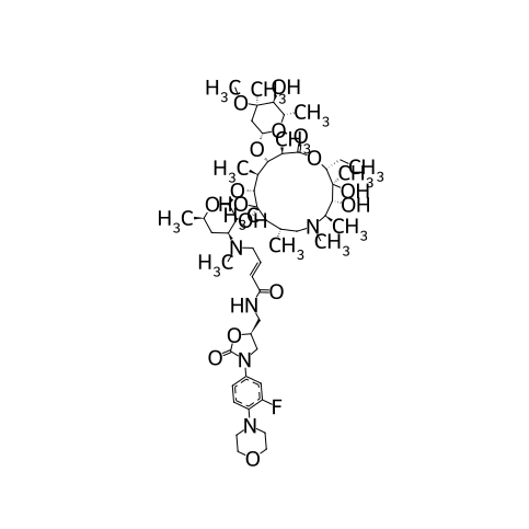 CC[C@H]1OC(=O)[C@H](C)[C@@H](O[C@@H]2C[C@@](C)(OC)[C@@H](O)[C@H](C)O2)[C@H](C)[C@@H](O[C@@H]2O[C@H](C)C[C@H](N(C)C/C=C/C(=O)NC[C@H]3CN(c4ccc(N5CCOCC5)c(F)c4)C(=O)O3)[C@H]2O)[C@](C)(O)C[C@@H](C)CN(C)[C@H](C)[C@@H](O)[C@]1(C)O